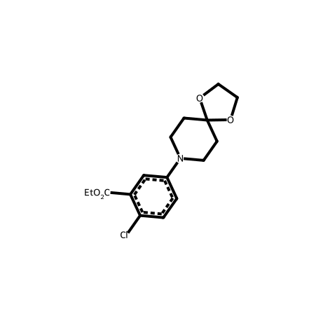 CCOC(=O)c1cc(N2CCC3(CC2)OCCO3)ccc1Cl